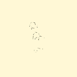 CCCCOC(=O)CCn1ncc(-c2ncccn2)cc1=S